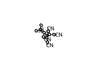 N#Cc1ccc(-c2ccc3c(c2)c2cc(-c4ccc(C#N)cc4)ccc2n3-c2c(-c3cccc(C#N)c3)cc(-c3nc(-c4ccccc4)cc(-c4ccccc4)n3)cc2-c2cccc(C#N)c2)cc1